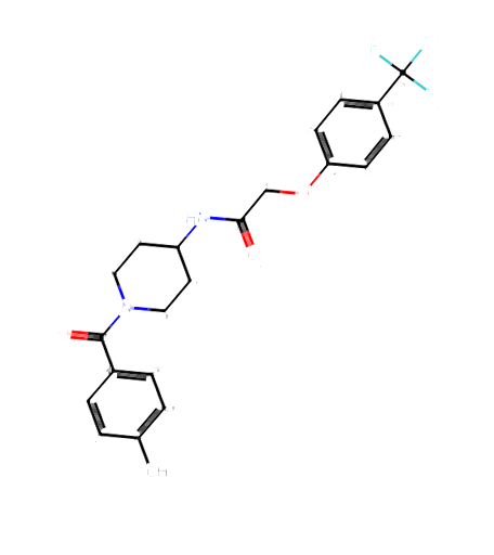 Cc1ccc(C(=O)N2CCC(NC(=O)COc3ccc(C(F)(F)F)cc3)CC2)cc1